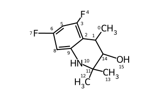 CC1c2c(F)cc(F)cc2NC(C)(C)C1O